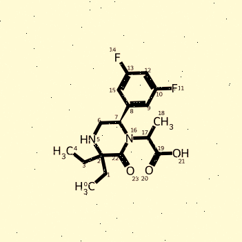 CCC1(CC)NC[C@@H](c2cc(F)cc(F)c2)N(C(C)C(=O)O)C1=O